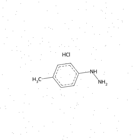 Cc1ccc(NN)cc1.Cl